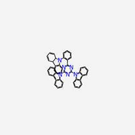 C1=CC2c3ccccc3N(c3ccccc3-c3nc(-n4c5ccccc5c5ccccc54)nc(-n4c5ccccc5c5ccccc54)n3)C2C=C1